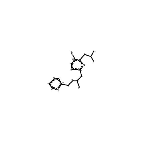 CC(C)Cc1nc(CC(C)CCc2ccccn2)ccc1F